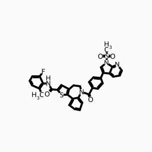 Cc1cccc(F)c1NC(=O)c1cc2c(s1)-c1ccccc1N(C(=O)c1ccc(-c3cn(S(C)(=O)=O)c4ncccc34)cc1)CC2